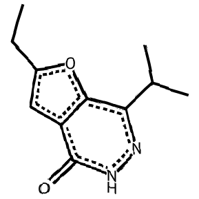 CCc1cc2c(=O)[nH]nc(C(C)C)c2o1